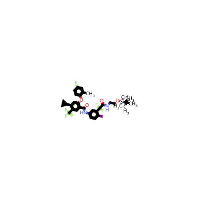 Cc1cc(F)ccc1Oc1cc(C2CC2)c(C(F)(F)F)cc1C(=O)Nc1ccc(I)c(C(F)(F)C(=O)NCCO[Si](C)(C)C(C)(C)C)c1